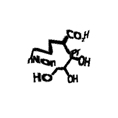 CCCCCCCCCCCCC(C(=O)O)C(C)C.OCC(O)CO